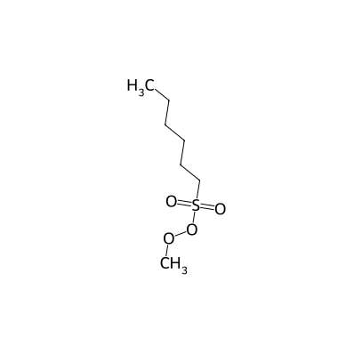 CCCCCCS(=O)(=O)OOC